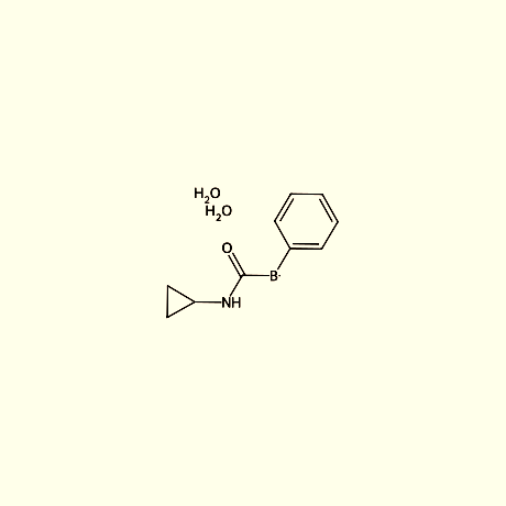 O.O.O=C([B]c1ccccc1)NC1CC1